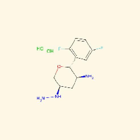 Cl.Cl.NN[C@H]1CO[C@H](c2cc(F)ccc2F)[C@@H](N)C1